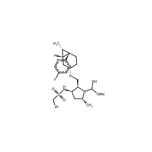 COC(O)N1[C@H](CO[C@H]2CC[C@]3(c4ncc(F)cn4)[C@H](C2)[C@@H]3C)[C@H](NS(=O)(=O)CC(C)C)C[C@@H]1C